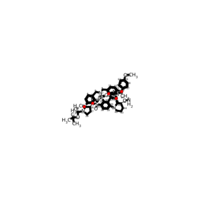 COc1ccc(CN(Cc2ccc(OC)cc2)S(=O)(=O)c2c(S(=O)(=O)N[C@@H]3CCN(C(=O)OC(C)(C)C)C3)ccc(N3CCC[C@@H](ON)C3=O)c2-c2nnn(Cc3ccc(OC)cc3)n2)cc1